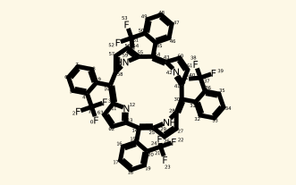 FC(F)(F)c1ccccc1-c1c2nc(c(-c3ccccc3C(F)(F)F)c3ccc([nH]3)c(-c3ccccc3C(F)(F)F)c3nc(c(-c4ccccc4C(F)(F)F)c4ccc1[nH]4)C=C3)C=C2